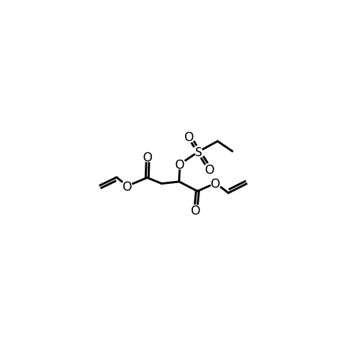 C=COC(=O)CC(OS(=O)(=O)CC)C(=O)OC=C